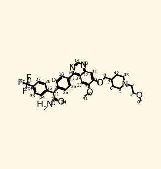 COCCN1CCC(COc2cc3ncnc(-c4ccc(C(C(N)=O)c5ccc(C(F)(F)F)cc5)cc4)c3cc2OC)CC1